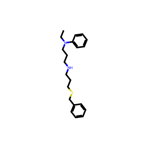 CCN(CCCNCCCSCc1ccccc1)c1ccccc1